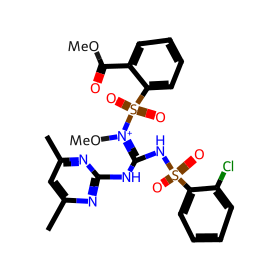 COC(=O)c1ccccc1S(=O)(=O)[N+](OC)=C(Nc1nc(C)cc(C)n1)NS(=O)(=O)c1ccccc1Cl